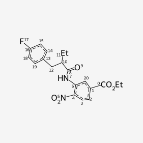 CCOC(=O)c1ccc([N+](=O)[O-])c(NC(=O)C(CC)Cc2ccc(F)cc2)c1